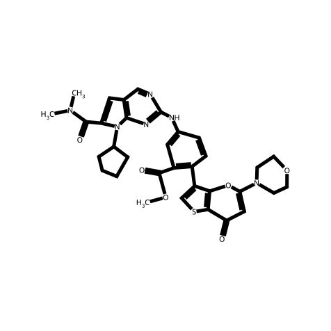 COC(=O)c1cc(Nc2ncc3cc(C(=O)N(C)C)n(C4CCCC4)c3n2)ccc1-c1csc2c(=O)cc(N3CCOCC3)oc12